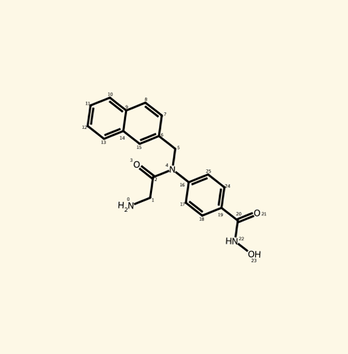 NCC(=O)N(Cc1ccc2ccccc2c1)c1ccc(C(=O)NO)cc1